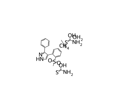 C.C#CC.CS(=O)(=O)c1ccccc1-c1c[nH]nc1-c1ccccc1.NC(O)=S.NC(O)=S.O